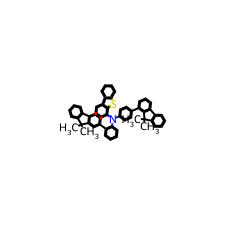 CC1(C)c2ccccc2-c2ccc(-c3ccccc3N(c3ccc(-c4cccc5c4C(C)(C)c4ccccc4-5)cc3)c3cccc4c3sc3ccccc34)cc21